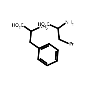 CC(C)CC(N)C(=O)O.NC(Cc1ccccc1)C(=O)O